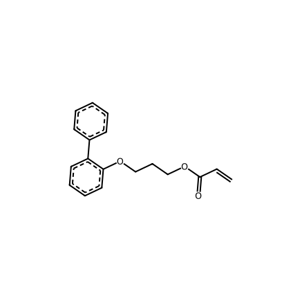 C=CC(=O)OCCCOc1ccccc1-c1ccccc1